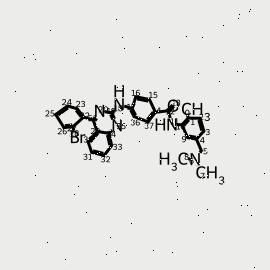 Cc1ccc(CN(C)C)cc1NC(=O)c1ccc(Nc2nc(-c3ccccc3Br)c3ccccc3n2)cc1